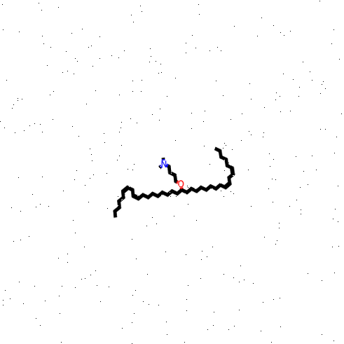 CCCCC/C=C\C/C=C\CCCCCCCCC(CCCCCCCC/C=C\C/C=C\CCCCC)OCCCCN(C)C